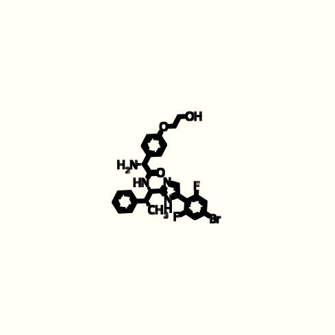 C[C@@H](c1ccccc1)[C@H](NC(=O)[C@H](N)c1ccc(OCCO)cc1)c1ncc(-c2c(F)cc(Br)cc2F)[nH]1